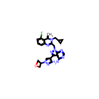 C=C1c2c(F)cccc2N=C(Cn2nc(-c3cnn(C4COC4)c3)c3c(N)ncnc32)N1CC1CC1